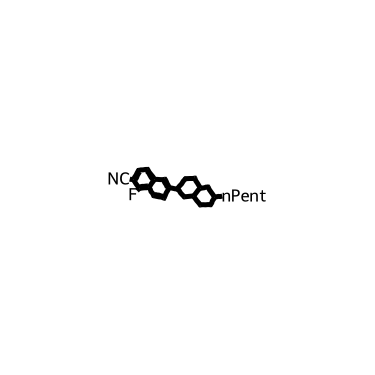 CCCCCC1CCC2CC(c3ccc4c(F)c(C#N)ccc4c3)CCC2C1